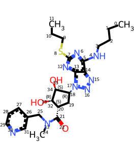 CCCCNc1nc(SCCC)nc2c1nnn2[C@@H]1C[C@H](C(=O)N(C)Cc2cccnc2)[C@@H](O)[C@H]1O